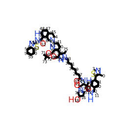 Cc1ncsc1-c1ccc([C@H](C)NC(=O)[C@@H]2C[C@@H](O)CN2C(=O)[C@@H](NC(=O)CCCCCCCn2nc(C)c(-c3ccc(N4CCc5cccc(C(=O)Nc6nc7ccccc7s6)c5C4)nc3C(=O)OC(C)(C)C)c2C)C(C)(C)C)cc1